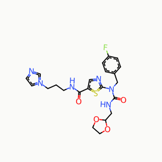 O=C(NCCCn1ccnc1)c1cnc(N(Cc2ccc(F)cc2)C(=O)NCC2OCCO2)s1